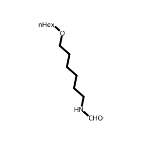 CCCCCCOCCCCCCN[C]=O